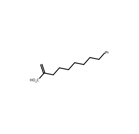 C=C(CCCCCCCC(C)C)C(=O)O